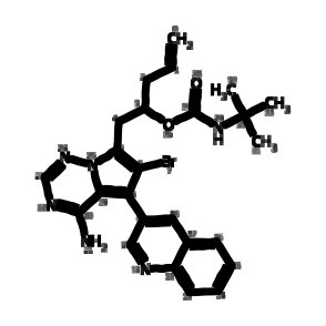 C=CCC(Cc1c(Br)c(-c2cnc3ccccc3c2)c2c(N)ncnn12)OC(=O)NC(C)(C)C